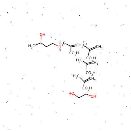 C=C(C)C(=O)O.C=C(C)C(=O)O.C=C(C)C(=O)O.C=C(C)C(=O)O.CC(O)CCO.OCCO